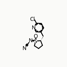 N#CN=S1(=O)CCC[C@H]1Cc1ccc(Cl)nc1